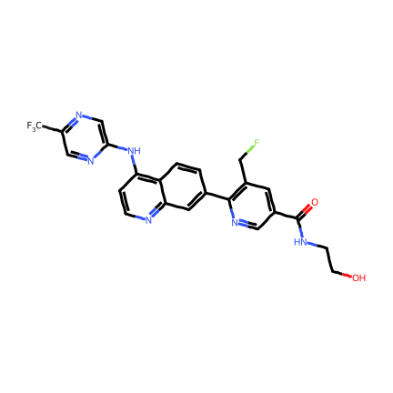 O=C(NCCO)c1cnc(-c2ccc3c(Nc4cnc(C(F)(F)F)cn4)ccnc3c2)c(CF)c1